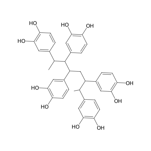 CC(c1ccc(O)c(O)c1)C(CC(c1ccc(O)c(O)c1)C(c1ccc(O)c(O)c1)C(C)c1ccc(O)c(O)c1)c1ccc(O)c(O)c1